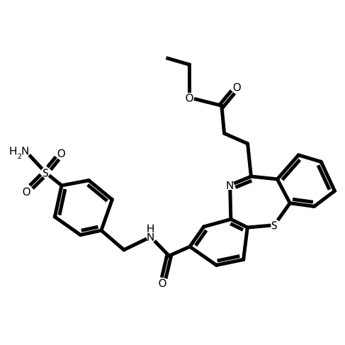 CCOC(=O)CCC1=Nc2cc(C(=O)NCc3ccc(S(N)(=O)=O)cc3)ccc2Sc2ccccc21